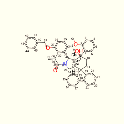 COc1ccccc1[C@]1(O)CCC(c2ccccc2)(c2ccccc2)[C@H]2CN(C(=O)[C@@H](C)c3ccccc3OCc3ccccc3)C[C@H]21